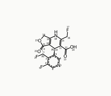 C[C@@H](F)c1c(F)cncc1[C@@H]1C(C(=O)O)=C(CF)NC2=C1C(=O)OC2